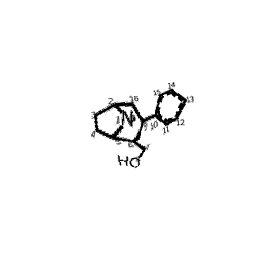 CN1C2CCC1C(CO)C(c1ccccc1)C2